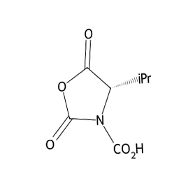 CC(C)[C@H]1C(=O)OC(=O)N1C(=O)O